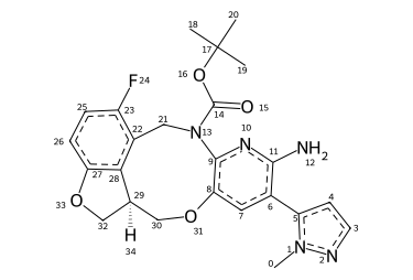 Cn1nccc1-c1cc2c(nc1N)N(C(=O)OC(C)(C)C)Cc1c(F)ccc3c1[C@@H](CO2)CO3